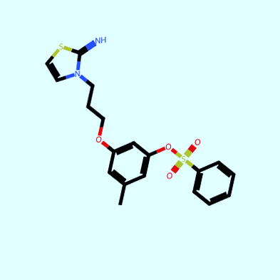 Cc1cc(OCCCn2ccsc2=N)cc(OS(=O)(=O)c2ccccc2)c1